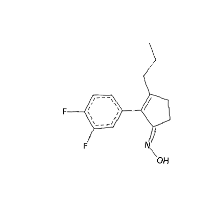 CCCC1=C(c2ccc(F)c(F)c2)C(=NO)CC1